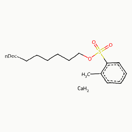 CCCCCCCCCCCCCCCCOS(=O)(=O)c1ccccc1C.[CaH2]